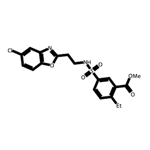 CCc1ccc(S(=O)(=O)NCCc2nc3cc(Cl)ccc3o2)cc1C(=O)OC